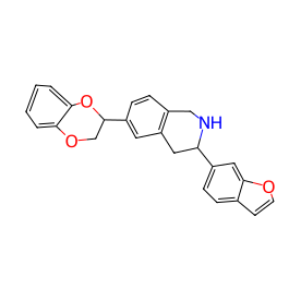 c1ccc2c(c1)OCC(c1ccc3c(c1)CC(c1ccc4ccoc4c1)NC3)O2